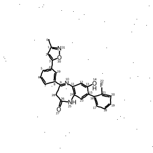 Cc1cc(-c2cccc(C3=Nc4cc(O)c(-c5ccccc5F)cc4NC(=O)C3)c2)on1